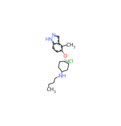 CCCCN[C@H]1CC[C@H](Oc2ccc3[nH]ncc3c2C)CC1.Cl